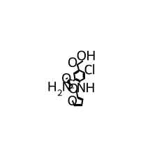 NS(=O)(=O)c1cc(C(=O)CO)c(Cl)cc1NCc1ccco1